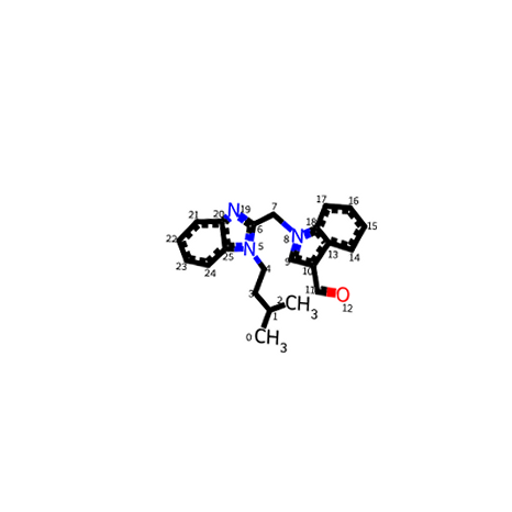 CC(C)CCn1c(Cn2cc(C=O)c3ccccc32)nc2ccccc21